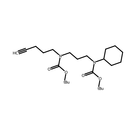 C#CCCCN(CCCN(C(=O)OC(C)(C)C)C1CCCCC1)C(=O)OC(C)(C)C